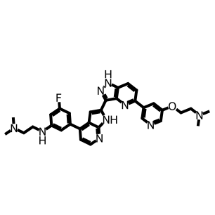 CN(C)CCNc1cc(F)cc(-c2ccnc3[nH]c(-c4n[nH]c5ccc(-c6cncc(OCCN(C)C)c6)nc45)cc23)c1